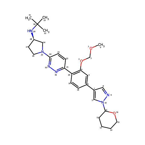 COCOc1cc(-c2cnn(C3CCCCO3)c2)ccc1-c1ccc(N2CC[C@@H](NC(C)(C)C)C2)nn1